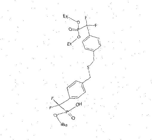 CCOP(=O)(OCC)C(F)(F)c1ccc(CSCc2ccc(C(F)(F)P(=O)(O)OC(C)CC)cc2)cc1